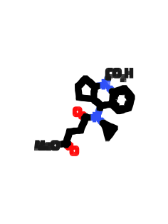 COC(=O)CCC(=O)N(C1CC1)C1c2ccccc2N(C(=O)O)C2CCCC21